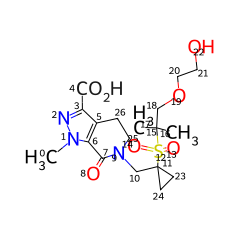 Cn1nc(C(=O)O)c2c1C(=O)N(CC1(S(=O)(=O)C(C)(C)COCCO)CC1)CC2